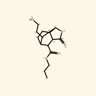 CCCOC(=O)C1C2CCC3C(OC(=O)C31)C2CCO